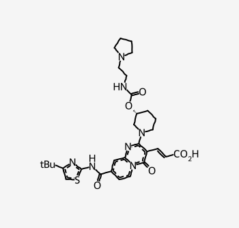 CC(C)(C)c1csc(NC(=O)c2ccn3c(=O)c(C=CC(=O)O)c(N4CCC[C@@H](OC(=O)NCCN5CCCC5)C4)nc3c2)n1